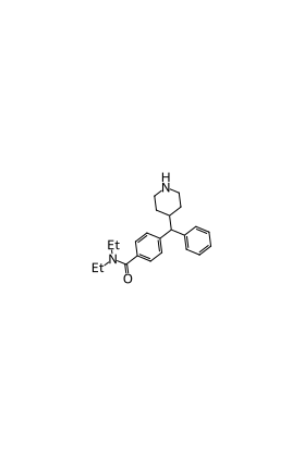 CCN(CC)C(=O)c1ccc(C(c2ccccc2)C2CCNCC2)cc1